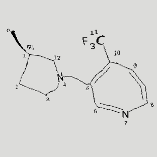 [CH2][C@@H]1CCN(c2cnccc2C(F)(F)F)C1